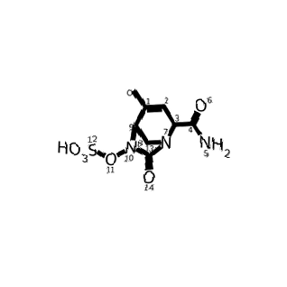 CC1=CC(C(N)=O)N2CC1N(OS(=O)(=O)O)C2=O